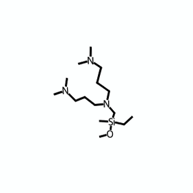 CC[Si](C)(CN(CCCN(C)C)CCCN(C)C)OC